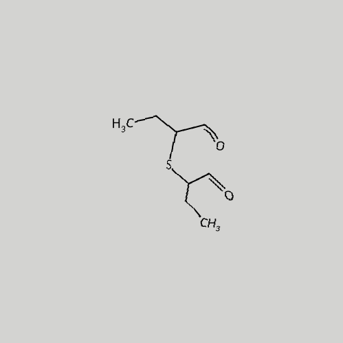 CCC(C=O)SC(C=O)CC